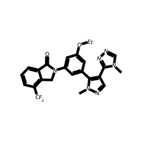 CCOc1cc(-c2c(-c3nncn3C)cnn2C)cc(N2Cc3c(cccc3C(F)(F)F)C2=O)c1